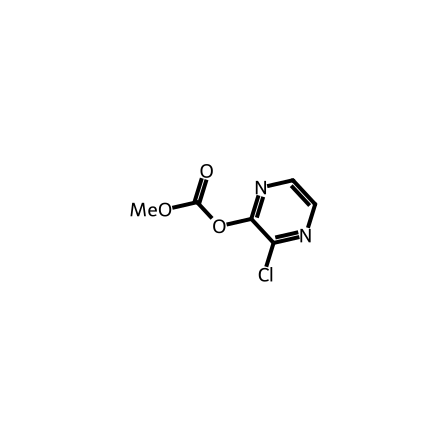 COC(=O)Oc1nccnc1Cl